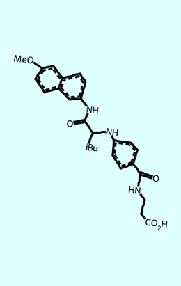 CCC(C)C(Nc1ccc(C(=O)NCCC(=O)O)cc1)C(=O)Nc1ccc2cc(OC)ccc2c1